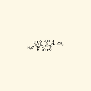 CCNC(=O)[C@H](O)[C@@H](O)C(=O)NC(C)C